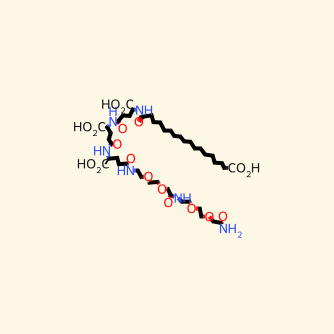 NC(=O)COCCOCCNC(=O)COCCOCCNC(=O)CC[C@H](NC(=O)CC[C@H](NC(=O)CC[C@H](NC(=O)CCCCCCCCCCCCCCCCC(=O)O)C(=O)O)C(=O)O)C(=O)O